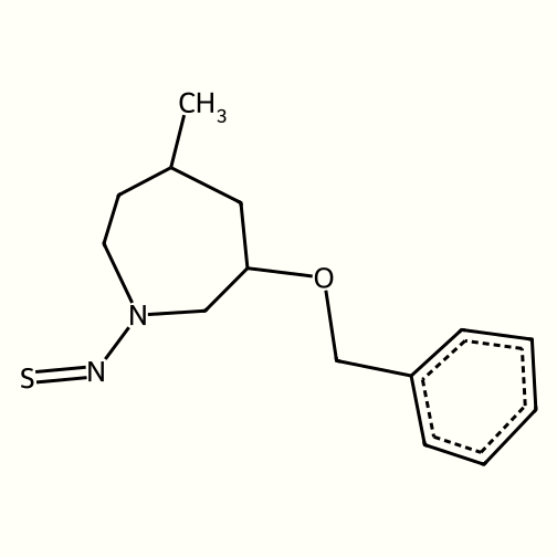 CC1CCN(N=S)CC(OCc2ccccc2)C1